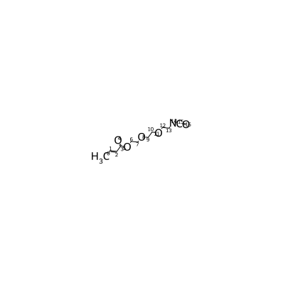 C/C=C/C(=O)OCCOCCOCCN=C=O